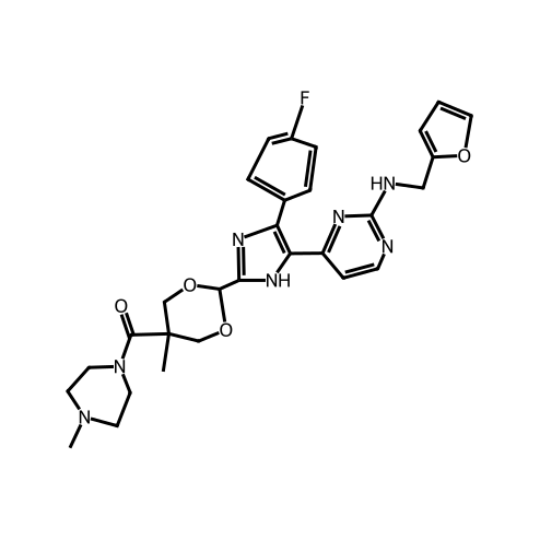 CN1CCN(C(=O)C2(C)COC(c3nc(-c4ccc(F)cc4)c(-c4ccnc(NCc5ccco5)n4)[nH]3)OC2)CC1